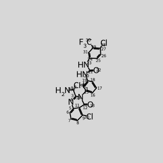 C[C@H](N)c1nc2cccc(Cl)c2c(=O)n1-c1cccc(NC(=O)Nc2ccc(Cl)c(C(F)(F)F)c2)c1